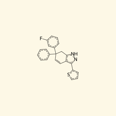 Fc1cccc(C2(c3ccccc3)C=Cc3c(-c4cccs4)n[nH]c3C2)c1